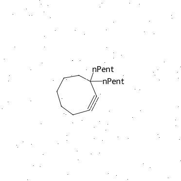 CCCCCC1(CCCCC)C#CCCCCC1